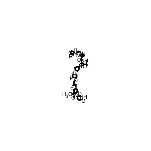 Cn1c(=O)n(C2CCC(=O)NC2=O)c2ccc(N3CC(CO[C@@H]4CCN(C[C@H]5CC[C@H](n6cc(NC(=O)c7cnn8ccc(N9C[C@H]%10C[C@@H]9CO%10)nc78)c(C(F)F)n6)CC5)C[C@@H]4F)C3)c(F)c21